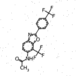 CC(=O)Nc1ccc2nc(-c3ccc(C(F)(F)F)cc3)oc2c1C(F)(F)F